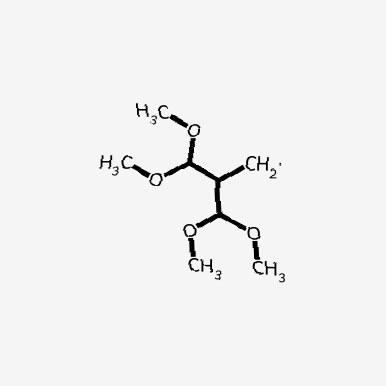 [CH2]C(C(OC)OC)C(OC)OC